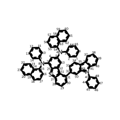 c1ccc(N(c2cc(N(c3ccccc3)c3cccc4ccccc34)c3sc4cccc(-c5ccc6c7ccccc7n(-c7ccccc7)c6c5)c4c3c2)c2cccc3ccccc23)cc1